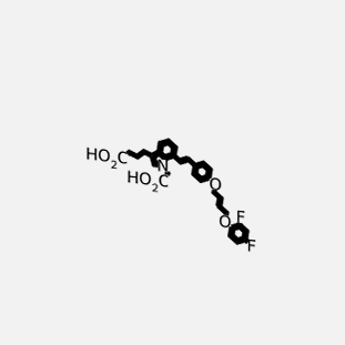 O=C(O)CCCc1cn(CC(=O)O)c2c(C=Cc3ccc(OCC=CCOc4ccc(F)cc4F)cc3)cccc12